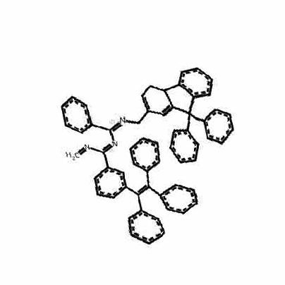 C=N/C(=N\C(=N/CC1=CCC2C(=C1)C(c1ccccc1)(c1ccccc1)c1ccccc12)c1ccccc1)c1cccc(C(=C(c2ccccc2)c2ccccc2)c2ccccc2)c1